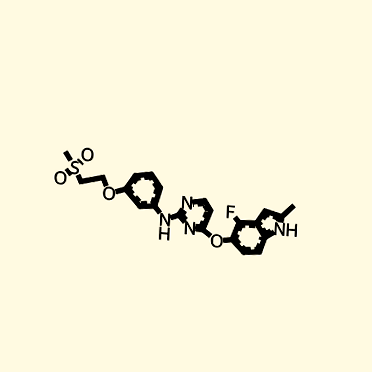 Cc1cc2c(F)c(Oc3ccnc(Nc4cccc(OCCS(C)(=O)=O)c4)n3)ccc2[nH]1